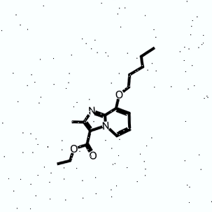 CCCCCOc1cccn2c(C(=O)OCC)c(C)nc12